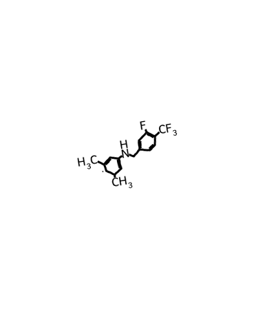 CC1=CC(NCc2ccc(C(F)(F)F)c(F)c2)=CC(C)[CH]1